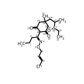 CCCC(=NOCC=CCl)C1C(=O)CC(C)(CC(C)[S+]([O-])CC)CC1=O